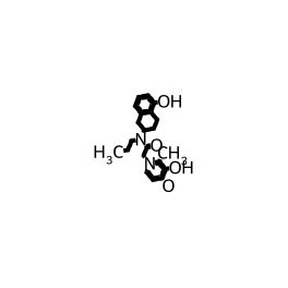 CCCN(C(=O)Cn1ccc(=O)c(O)c1C)C1CCc2c(O)cccc2C1